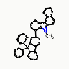 Cn1c2ccc3ccccc3c2c2cccc(-c3ccc4c(c3)C(c3ccccc3)(c3ccccc3)c3ccccc3-4)c21